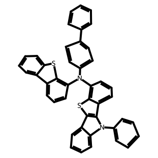 c1ccc(-c2ccc(N(c3cccc4c3sc3ccccc34)c3cccc4c3sc3c5ccccc5n(-c5ccccc5)c43)cc2)cc1